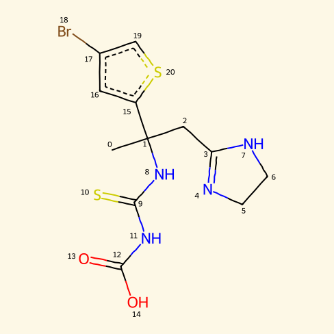 CC(CC1=NCCN1)(NC(=S)NC(=O)O)c1cc(Br)cs1